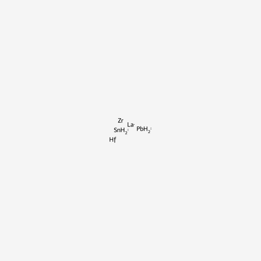 [Hf].[La].[PbH2].[SnH2].[Zr]